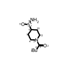 CCC(C)C(=O)N1CCC([S+](N)[O-])CC1